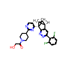 CC1(C)[C@H]2CC[C@]1(c1ccnc(C3CCN(C(=O)CO)CC3)n1)c1nnc(-c3c(F)cccc3F)cc12